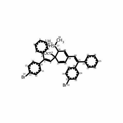 CCCCCCCCC1(C=C(c2ccccc2)c2ccc(Br)cc2)C=CC(C=C(c2ccccc2)c2ccc(Br)cc2)=CC1[SiH](C)C